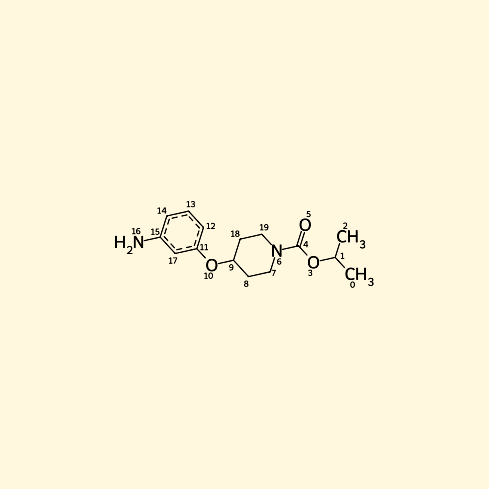 CC(C)OC(=O)N1CCC(Oc2cccc(N)c2)CC1